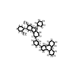 CCc1ccccc1-c1cc2c3cc(-c4cccc(-c5ccc6c7ccccc7c7ccccc7c6c5)c4)ccc3n(-c3ccccc3)c2cc1CC